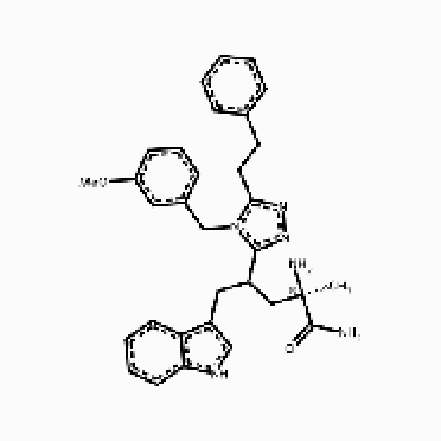 COc1cccc(Cn2c(CCc3ccccc3)nnc2C(Cc2c[nH]c3ccccc23)C[C@@](C)(N)C(N)=O)c1